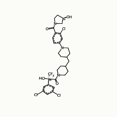 O=C(c1ccc(N2CCC(CC3CCN(C(=O)[C@](O)(c4cc(Cl)cc(Cl)c4)C(F)(F)F)CC3)CC2)cc1Cl)N1CC[C@@H](O)C1